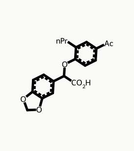 CCCc1cc(C(C)=O)ccc1OC(C(=O)O)c1ccc2c(c1)OCO2